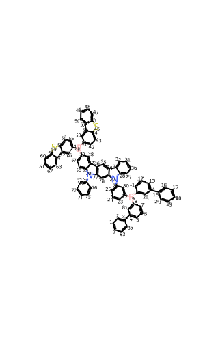 c1ccc(-c2cccc(B(c3cccc(-c4ccccc4)c3)c3cccc(-n4c5ccccc5c5cc6c7cc(B(c8ccc9sc%10ccccc%10c9c8)c8ccc9sc%10ccccc%10c9c8)ccc7n(-c7ccccc7)c6cc54)c3)c2)cc1